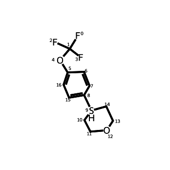 FC(F)(F)Oc1ccc([SH]2CCOCC2)cc1